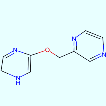 C1=NC(OCc2cnccn2)=CNC1